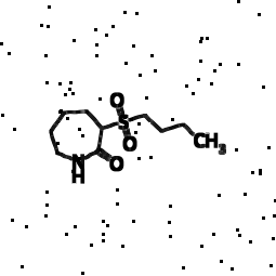 CCCCS(=O)(=O)C1CCCCNC1=O